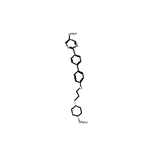 CCCCCCc1cnc(-c2ccc(-c3ccc(OCCC[C@H]4CC[C@H](CCCCC)CC4)cc3)cc2)nc1